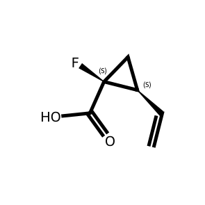 C=C[C@@H]1C[C@@]1(F)C(=O)O